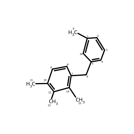 Cc1cccc(Cc2ccc(C)c(C)c2C)c1